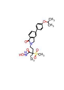 CC(C)Oc1ccc(-c2ccc3c(c2)CN(CCC(C)(C(=O)NO)S(C)(=O)=O)C3=O)cc1